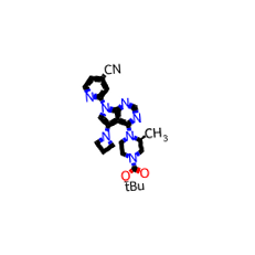 C[C@H]1CN(C(=O)OC(C)(C)C)CCN1c1ncnc2c1c(N1CCC1)cn2-c1cc(C#N)ccn1